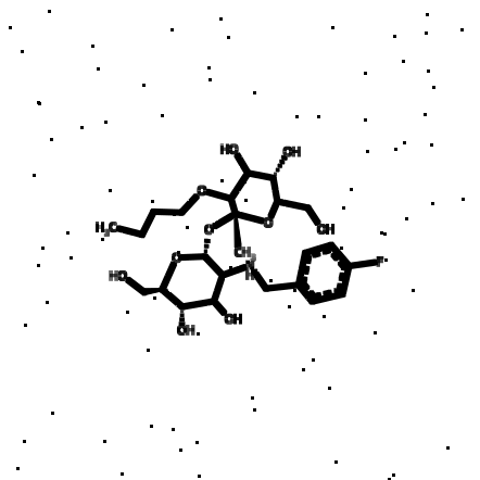 CCCCOC1C(O)[C@H](O)C(CO)O[C@]1(C)O[C@H]1O[C@H](CO)[C@@H](O)C(O)C1NCc1ccc(F)cc1